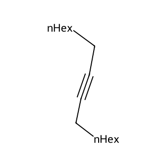 CCCCCCCC#CCCCCCCC